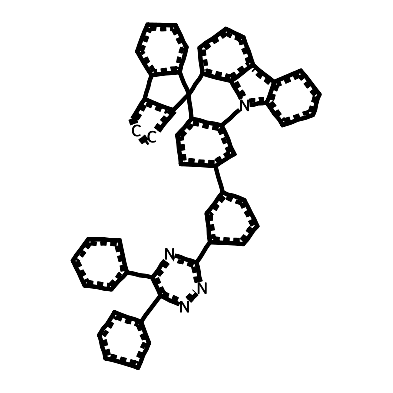 c1ccc(-c2nnc(-c3cccc(-c4ccc5c(c4)-n4c6ccccc6c6cccc(c64)C54c5ccccc5-c5ccccc54)c3)nc2-c2ccccc2)cc1